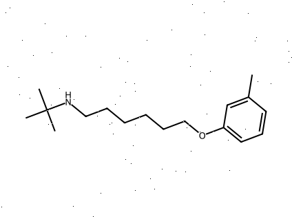 Cc1cccc(OCCCCCCNC(C)(C)C)c1